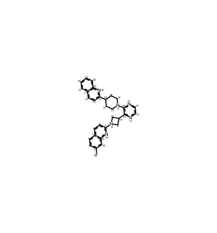 Fc1ccc2ccc(N3CC(c4nccnc4N4CCC(c5ccc6ccccc6n5)CC4)C3)nc2c1